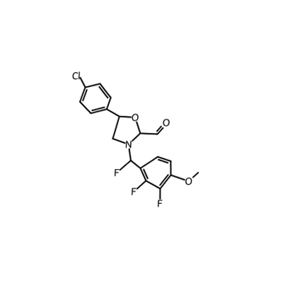 COc1ccc(C(F)N2CC(c3ccc(Cl)cc3)OC2C=O)c(F)c1F